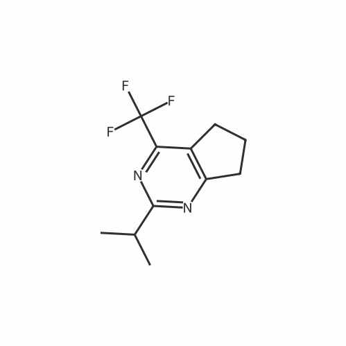 CC(C)c1nc2c(c(C(F)(F)F)n1)CCC2